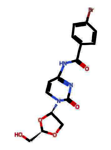 O=C(Nc1ccn([C@@H]2CO[C@H](CO)O2)c(=O)n1)c1ccc(Br)cc1